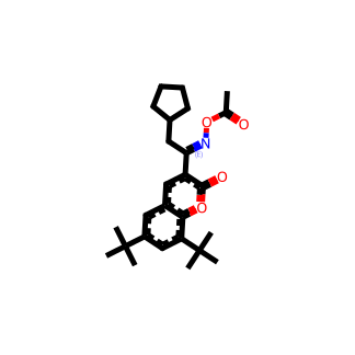 CC(=O)O/N=C(\CC1CCCC1)c1cc2cc(C(C)(C)C)cc(C(C)(C)C)c2oc1=O